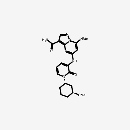 CNc1cc(Nc2cccn([C@H]3CCC[C@H](OC)C3)c2=O)nc2c(C(N)=O)cnn12